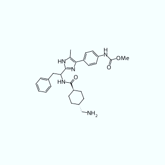 COC(=O)Nc1ccc(-c2nc(C(Cc3ccccc3)NC(=O)[C@H]3CC[C@H](CN)CC3)[nH]c2C)cc1